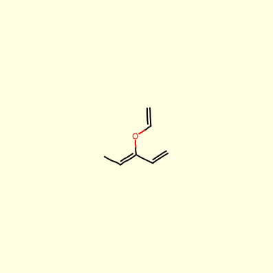 C=CO/C(C=C)=C\C